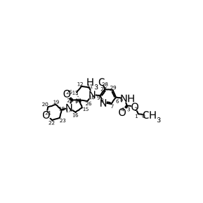 CCOC(=O)Nc1cnc(N2CCC[C@@]3(CCN(C4CCOCC4)C3=O)C2)c(C)c1